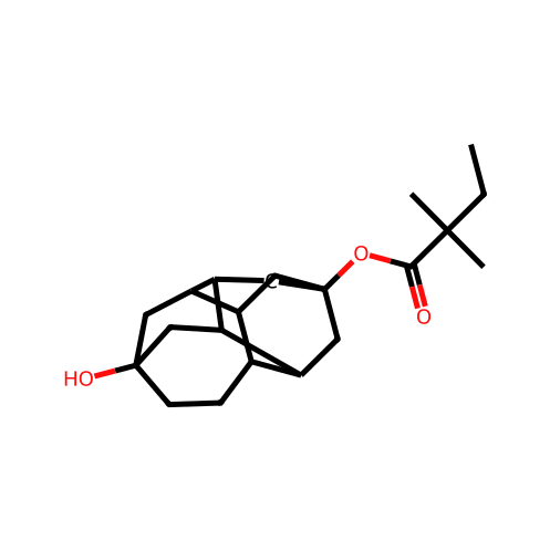 CCC(C)(C)C(=O)OC12CC3C4CCC5(O)CC3C(C1)C(C5)C4C2